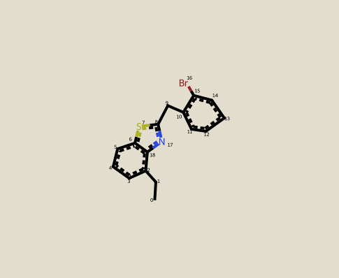 CCc1cccc2sc(Cc3ccccc3Br)nc12